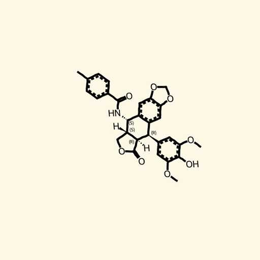 COc1cc([C@@H]2c3cc4c(cc3[C@@H](NC(=O)c3ccc(C)cc3)[C@H]3COC(=O)[C@H]23)OCO4)cc(OC)c1O